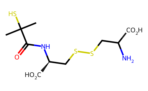 CC(C)(S)C(=O)N[C@@H](CSSCC(N)C(=O)O)C(=O)O